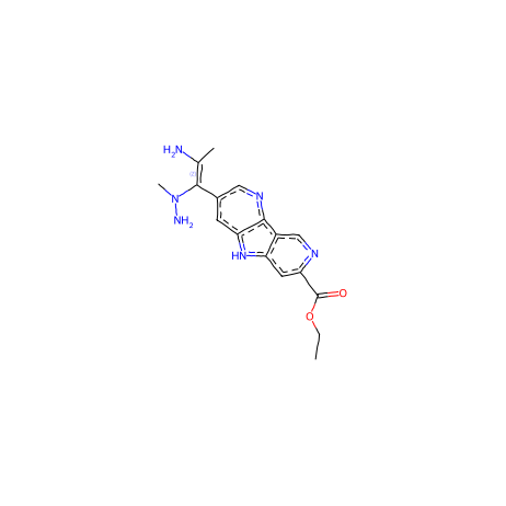 CCOC(=O)c1cc2[nH]c3cc(/C(=C(\C)N)N(C)N)cnc3c2cn1